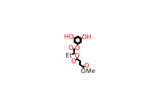 CCC(OC(=O)C=CC(=O)OC)C(=O)Oc1cc(O)cc(O)c1